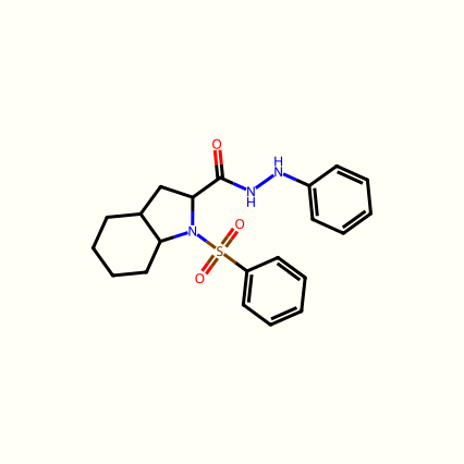 O=C(NNc1ccccc1)C1CC2CCCCC2N1S(=O)(=O)c1ccccc1